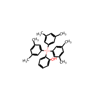 Cc1cc(C)cc([B-](c2cc(C)cc(C)c2)(c2cc(C)cc(C)c2)c2ccccc2O)c1